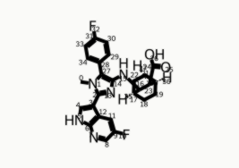 Cn1c(-c2c[nH]c3ncc(F)cc23)nc(NC2[C@H]3CC[C@H](CC3)[C@@H]2C(=O)O)c1-c1ccc(F)cc1